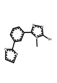 Cn1c(S)nnc1-c1cccc(-c2ncco2)c1